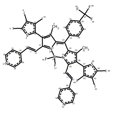 CC1=C(c2sc(I)c(I)c2I)C(/C=C/c2ccncc2)=[N+]2C1=C(c1ccc(C(F)(F)F)cc1)c1c(C)c(-c3sc(I)c(I)c3I)c(/C=C/c3ccncc3)n1[B-]2(F)F